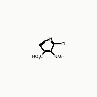 CNc1c(C(=O)O)ccnc1Cl